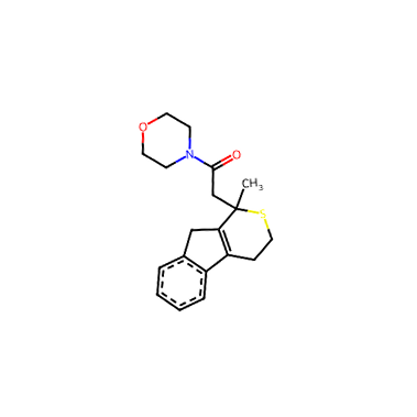 CC1(CC(=O)N2CCOCC2)SCCC2=C1Cc1ccccc12